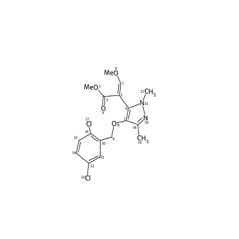 COC=C(C(=O)OC)c1c(OCc2cc(Cl)ccc2Cl)c(C)nn1C